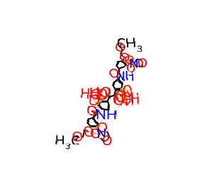 COCCOc1ccc(C(=O)Nc2ccc(C(O)C(O)c3ccc(NC(=O)c4ccc(OCCOC)c(S(=O)(=O)N5CCOCC5)c4)cc3S(=O)(=O)O)c(S(=O)(=O)O)c2)cc1S(=O)(=O)N1CCOCC1